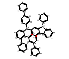 c1ccc(-c2ccc(N(c3ccc4c5ccccc5n(-c5ccccc5)c4c3)c3cccc(-c4ccccc4)c3-c3cccc(-c4ccccc4)c3)cc2)cc1